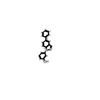 Oc1cccc(-n2ncc3cc(-c4ccccc4)ccc32)c1